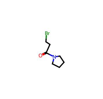 O=C(CCBr)N1CCCC1